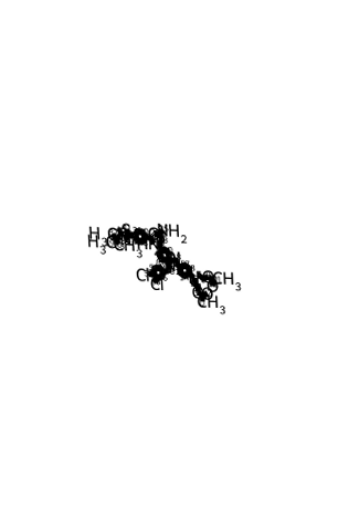 CC(=O)OCCN(CCOC(C)=O)c1ccc(-c2nc3cc(C(CC(N)=O)NCc4ccc(-c5nc(C(C)(C)C)cs5)cc4)ccc3n2Cc2ccc(Cl)c(Cl)c2)cc1